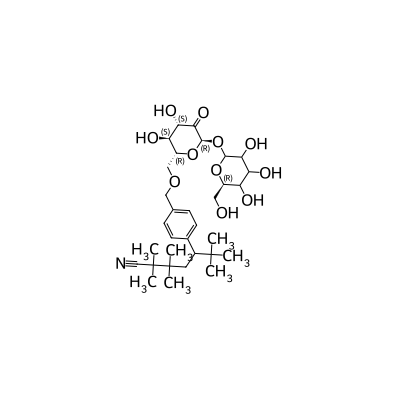 CC(C)(C)C(CC(C)(C)C(C)(C)C#N)c1ccc(COC[C@H]2O[C@H](OC3O[C@H](CO)C(O)C(O)C3O)C(=O)[C@@H](O)[C@@H]2O)cc1